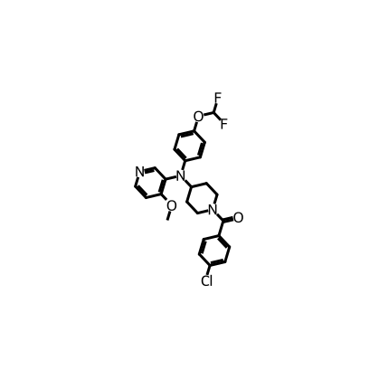 COc1ccncc1N(c1ccc(OC(F)F)cc1)C1CCN(C(=O)c2ccc(Cl)cc2)CC1